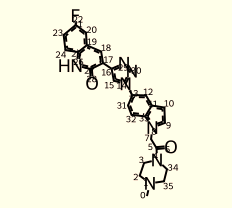 CN1CCN(C(=O)Cn2ccc3cc(-n4cc(-c5cc6cc(F)ccc6[nH]c5=O)nn4)ccc32)CC1